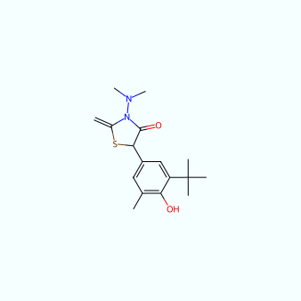 C=C1SC(c2cc(C)c(O)c(C(C)(C)C)c2)C(=O)N1N(C)C